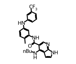 CCCCNc1c(C(=O)Nc2cc(Nc3cccc(C(F)(F)F)c3)ccc2C)cnc2[nH]ccc12